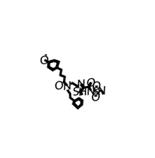 COc1ccc(CCCC(=O)N(CCCc2ccccc2)Cc2nc(C(=O)NS(=O)(=O)N(C)C)c(C)s2)cc1